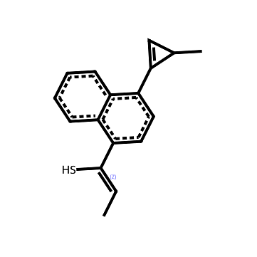 C/C=C(\S)c1ccc(C2=CC2C)c2ccccc12